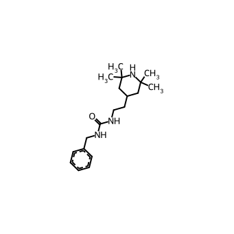 CC1(C)CC(CCNC(=O)NCc2ccccc2)CC(C)(C)N1